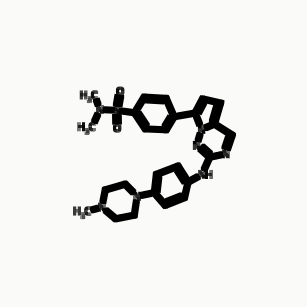 CN1CCN(c2ccc(Nc3ncc4ccc(-c5ccc(S(=O)(=O)N(C)C)cc5)n4n3)cc2)CC1